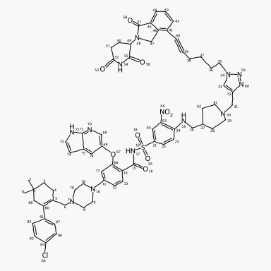 CC1(C)CCC(CN2CCN(c3ccc(C(=O)NS(=O)(=O)c4ccc(NCC5CCN(Cc6cn(CCCCC#Cc7cccc8c7CN(C7CCC(=O)NC7=O)C8=O)nn6)CC5)c([N+](=O)[O-])c4)c(Oc4cnc5[nH]ccc5c4)c3)CC2)=C(c2ccc(Cl)cc2)C1